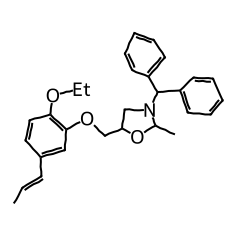 C/C=C/c1ccc(OCC)c(OCC2CN(C(c3ccccc3)c3ccccc3)C(C)O2)c1